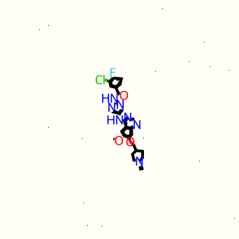 C#CN1CCC(COc2cc3ncnc(Nc4cnc(NC(=O)c5ccc(F)c(Cl)c5)nc4)c3cc2OC)CC1